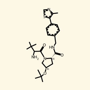 Cc1ncsc1-c1ccc(CNC(=O)[C@@H]2C[C@@H](OC(C)(C)C)CN2C(=O)C(N)C(C)(C)C)cc1